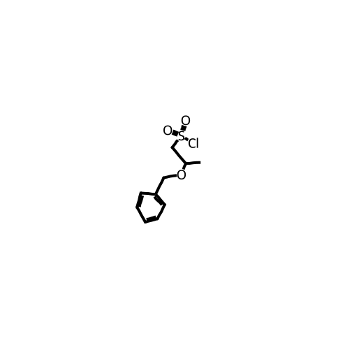 CC(CS(=O)(=O)Cl)OCc1ccccc1